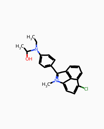 CCN(c1ccc(C2=[N+](C)c3ccc(Cl)c4cccc2c34)cc1)C(C)O